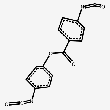 O=C=Nc1ccc(OC(=O)c2ccc(N=C=O)cc2)cc1